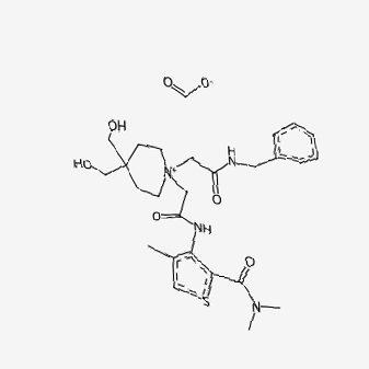 Cc1csc(C(=O)N(C)C)c1NC(=O)C[N+]1(CC(=O)NCc2ccccc2)CCC(CO)(CO)CC1.O=C[O-]